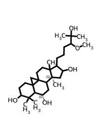 COC(CCCC1C(O)C[C@@]2(C)C3C[C@H](O)C4C(C)(C)C(O)CCC45CC35CCC12C)C(C)(C)O